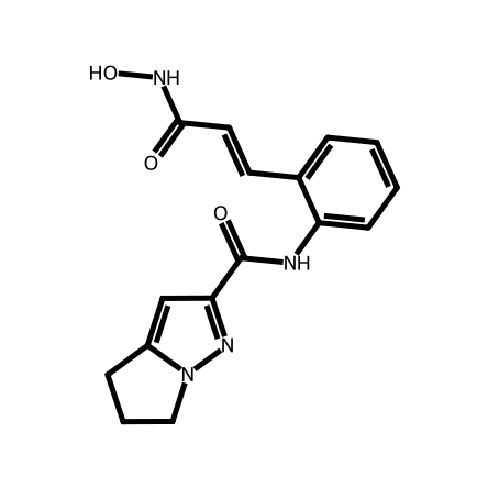 O=C(C=Cc1ccccc1NC(=O)c1cc2n(n1)CCC2)NO